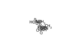 CCn1nccc1C(=O)N[C@H](C(=O)Nc1ccc([C@H](C)C(=O)N[C@H](CO)C2CCC2)cc1F)C(C1CCCCC1)C1CCCCC1